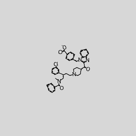 COC(=O)c1ccc(Cn2c(C(=O)C3CCN(CCC(CN(C)C(=O)c4ccccc4)c4cccc(Cl)c4)CC3)nc3ccccc32)cc1